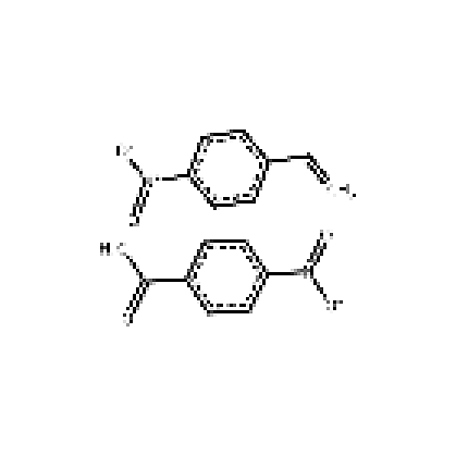 C=Cc1ccc([N+](=O)[O-])cc1.CC(=O)c1ccc([N+](=O)[O-])cc1